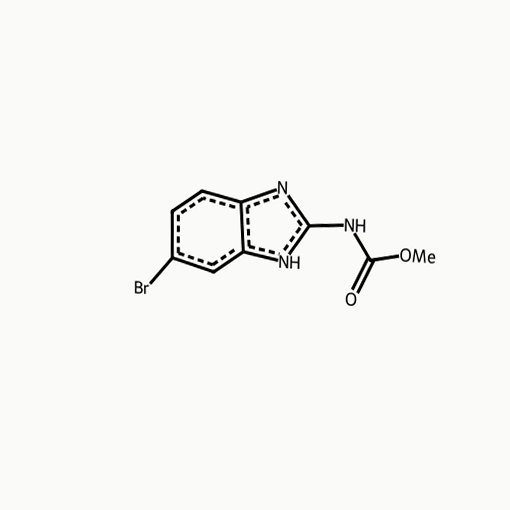 COC(=O)Nc1nc2ccc(Br)cc2[nH]1